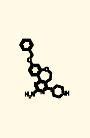 Nc1nc2c(c(N3CCNCC3)n1)CCOc1cc(OCc3ccccc3)ccc1-2